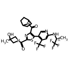 C[C@H](Nc1cc(C(F)(F)F)c(-c2sc(C(=O)N3CC(C)(O)C3)nc2C(=O)N2C3CCC2CC3)cn1)C(F)(F)F